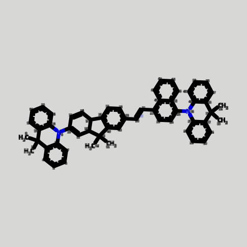 CC1(C)c2ccccc2N(C2=CC3C(C=C2)c2ccc(/C=C/c4ccc(N5c6ccccc6C(C)(C)c6ccccc65)c5ccccc45)cc2C3(C)C)c2ccccc21